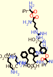 CC(C)[C@H](N)C(=O)OC(=O)[C@@H](N)CCCNC(=N)N.CC(C)[C@H](N)C(=O)Oc1ccc(C[C@H](N)C(=O)O)cc1.CSCC[C@H](N)C(=O)O.NCCCC[C@H](N)C(=O)O.N[C@@H](Cc1c[nH]c2ccccc12)C(=O)O.N[C@@H](Cc1ccccc1)C(=O)O